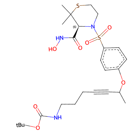 CC(C#CCCCNC(=O)OC(C)(C)C)Oc1ccc(S(=O)(=O)N2CCSC(C)(C)[C@@H]2C(=O)NO)cc1